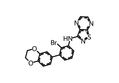 Brc1c(Nc2nsc3nccnc23)cccc1-c1ccc2c(c1)OCCO2